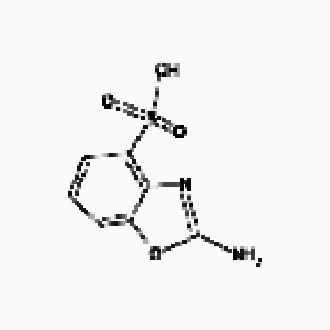 Nc1nc2c(S(=O)(=O)O)cccc2o1